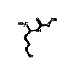 CC(C)CCC[C@H](NC(=O)OC(C)(C)C)C(=O)O